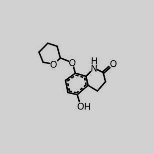 O=C1CCc2c(O)ccc(OC3CCCCO3)c2N1